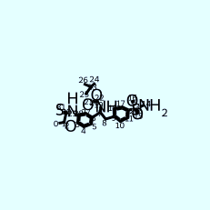 CC1Oc2ccc(C(Cc3ccc(S(N)(=O)=O)cc3)NC(=O)OC(C)(C)C)cc2NC1=S